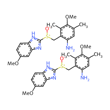 COc1ccc2[nH]c([S+]([O-])Cc3c(N)cc(C)c(OC)c3C)nc2c1.COc1ccc2[nH]c([S+]([O-])Cc3c(N)cc(C)c(OC)c3C)nc2c1